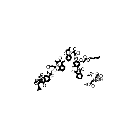 CC1COc2ccccc2N1C(=O)C(Cl)Cl.CCCCCOC(=O)COc1cc(N2C(=O)C3=C(CCCC3)C2=O)c(F)cc1Cl.CCc1cccc(C)c1N(C(=O)CCl)C(C)COC.CS(=O)(=O)c1cc(C(F)(F)F)ccc1C(=O)c1cnoc1C1CC1.C[S+](C)C.O=C(O)CNCP(=O)([O-])O